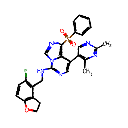 Cc1ncc(-c2cnc(NCc3c(F)ccc4c3CCO4)n3cnc(S(=O)(=O)c4ccccc4)c23)c(C)n1